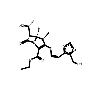 CCOC(=O)C1=C(S/C=C\c2scnc2CO)[C@H](C)[C@@H]2[C@@H]([C@@H](C)O)C(=O)N12